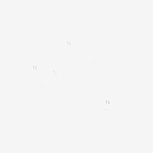 O=[N+]([O-])c1ccc(Oc2cccnc2-c2ccnc(Cl)n2)c(F)c1